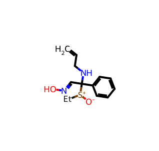 C=CCNC(/C=N/O)(c1ccccc1)[S+]([O-])CC